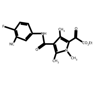 CCOC(=O)C(=O)c1c(C)c(C(=O)Nc2ccc(F)c(C#N)c2)c(C)n1C